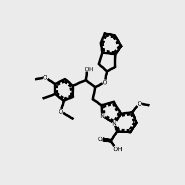 COc1cc(C(O)C(Cc2cc3c(OC)ccc(C(=O)O)n3n2)OC2Cc3ccccc3C2)cc(OC)c1C